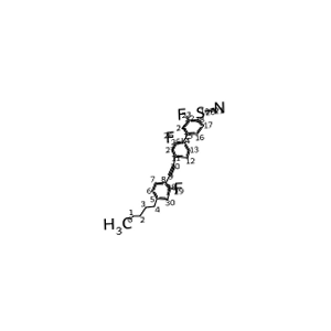 CCCCCc1ccc(C#Cc2ccc(-c3ccc(SC#N)c(F)c3)c(F)c2)c(F)c1